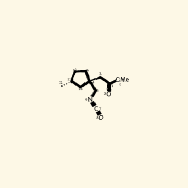 COC(=O)C[C@]1(CN=C=O)CC[C@@H](C)C1